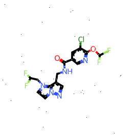 O=C(NCc1cnn2ccn(CC(F)F)c12)c1cnc(OC(F)F)c(Cl)c1